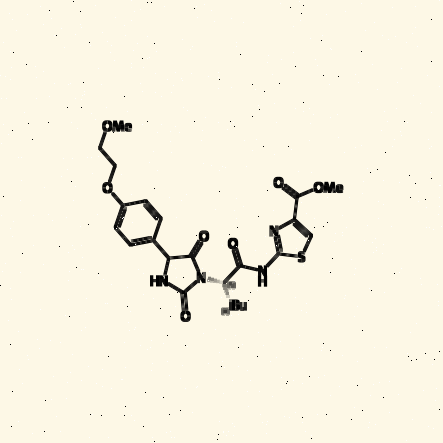 CC[C@@H](C)[C@@H](C(=O)Nc1nc(C(=O)OC)cs1)N1C(=O)NC(c2ccc(OCCOC)cc2)C1=O